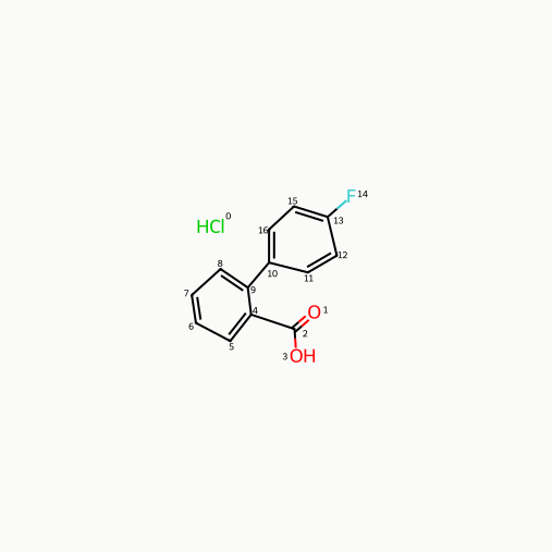 Cl.O=C(O)c1ccccc1-c1ccc(F)cc1